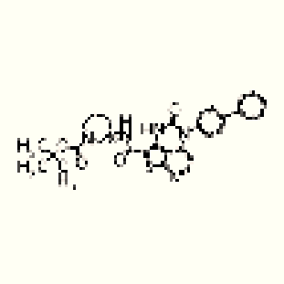 CC(C)(C)OC(=O)N1CCC[C@@H](NC(=O)c2sc3nccc4c3c2NC(=O)N4c2ccc(-c3ccccc3)cc2)C1